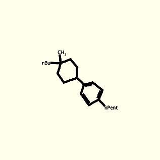 CCCCCc1ccc(C2CCC(C)(CCCC)CC2)cc1